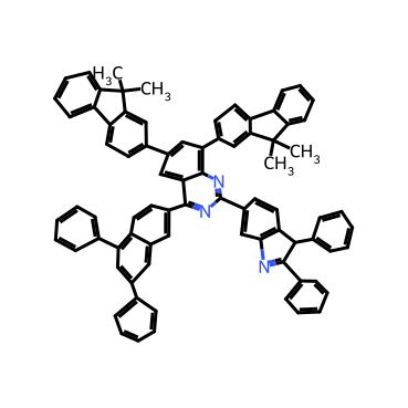 CC1(C)c2ccccc2-c2ccc(-c3cc(-c4ccc5c(c4)C(C)(C)c4ccccc4-5)c4nc(-c5ccc6c(c5)N=C(c5ccccc5)C6c5ccccc5)nc(-c5ccc6c(-c7ccccc7)cc(-c7ccccc7)cc6c5)c4c3)cc21